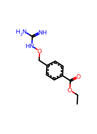 CCOC(=O)c1ccc(CONC(=N)N)cc1